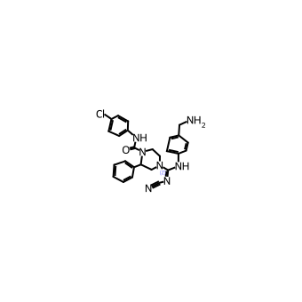 N#C/N=C(/Nc1ccc(CN)cc1)N1CCN(C(=O)Nc2ccc(Cl)cc2)C(c2ccccc2)C1